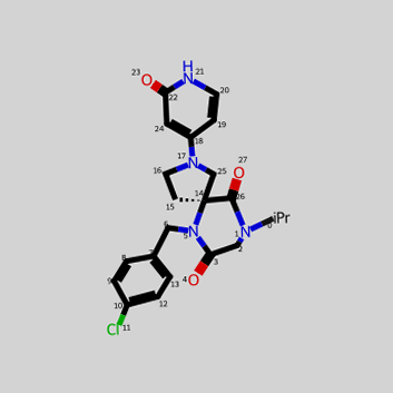 CC(C)N1CC(=O)N(Cc2ccc(Cl)cc2)[C@]2(CCN(c3cc[nH]c(=O)c3)C2)C1=O